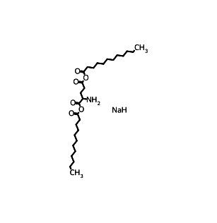 CCCCCCCCCCCC(=O)OC(=O)CCC(N)C(=O)OC(=O)CCCCCCCCCCC.[NaH]